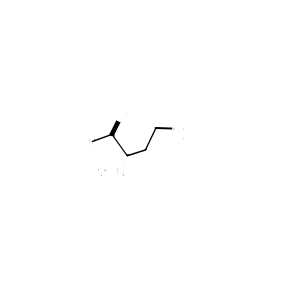 CN[C@@H](CCC(=O)O)C(=O)Cl